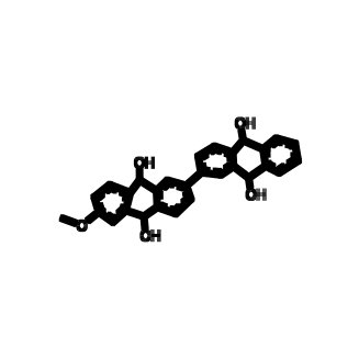 COc1ccc2c(c1)C(O)c1ccc(-c3ccc4c(c3)C(O)c3ccccc3C4O)cc1C2O